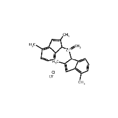 [CH2]=[Zr+2]([CH]1C(C)=Cc2c(C)cccc21)[CH]1C(C)=Cc2c(C)cccc21.[Cl-].[Cl-]